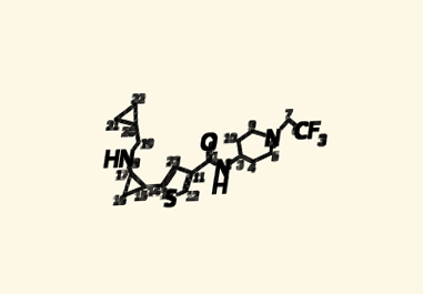 O=C(NC1CCN(CC(F)(F)F)CC1)c1csc(C2CC2NCC2CC2)c1